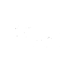 CCC[CH2][Sn]([CH2]CCC)([CH2]CCC)[c]1ccc(C(O[SiH](C)C)C(C)(C)C)o1